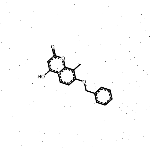 Cc1c(OCc2ccccc2)ccc2c(O)cc(=O)oc12